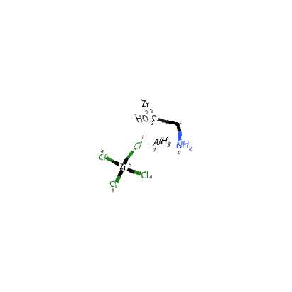 NCC(=O)O.[AlH3].[Cl][Zr]([Cl])([Cl])[Cl].[Zr]